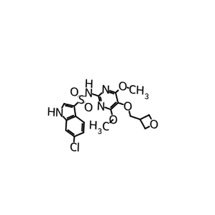 COc1nc(NS(=O)(=O)c2c[nH]c3cc(Cl)ccc23)nc(OC)c1OCC1COC1